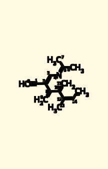 C#C/C(=C/N=C(C)C)C(=C)C(=C)/C(C)=C\C